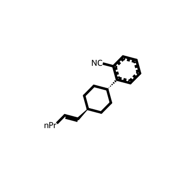 CCC/C=C/[C@H]1CC[C@H](c2ccccc2C#N)CC1